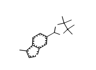 CC1(C)OC(c2ccc3c(Br)csc3c2)OC1(C)C